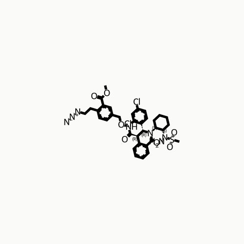 COC(=O)c1cc(CONC(=O)[C@@H]2c3ccccc3C(=O)N([C@H]3CCCC[C@@H]3N(N)S(C)(=O)=O)[C@H]2c2ccc(Cl)cc2Cl)ccc1CCN=[N+]=[N-]